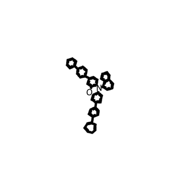 C1=CCC=CC(c2ccc(-c3ccc4c(c3)Oc3cc(-c5ccc(-c6ccccc6)cc5)ccc3N4c3cccc4ccccc34)cc2)=C1